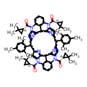 Cc1cc(C)c(-c2c3nc(c(-c4c(NC(=O)[C@H]5CC5(C)C)cccc4NC(=O)[C@@H]4CC4(C)C)c4ccc([nH]4)c(-c4c(C)cc(C)cc4C)c4nc(c(-c5c(NC(=O)[C@H]6CC6(C)C)cccc5NC(=O)[C@@H]5CC5(C)C)c5ccc2[nH]5)C=C4)C=C3)c(C)c1